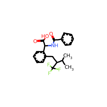 CC(C)C(Cc1ccccc1C(NC(=O)c1ccccc1)C(=O)O)C(F)(F)F